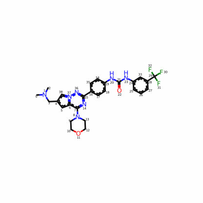 CN(C)Cc1cc2c(N3CCOCC3)nc(-c3ccc(NC(=O)Nc4cccc(C(F)(F)F)c4)cc3)nn2c1